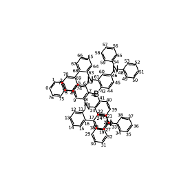 c1ccc(-c2cc3c4c(c2)N(c2ccccc2-c2ccccc2)c2cc(N(c5ccccc5)c5ccccc5)ccc2B4c2ccc(N(c4ccccc4)c4ccccc4)cc2N3c2ccccc2-c2ccccc2)cc1